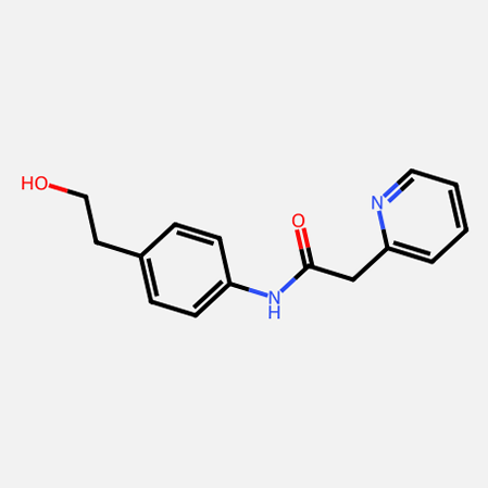 O=C(Cc1ccccn1)Nc1ccc(CCO)cc1